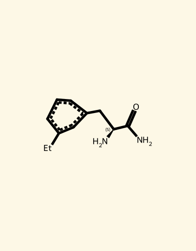 CCc1cccc(C[C@H](N)C(N)=O)c1